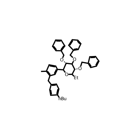 CCCCc1ccc(Cc2cc(C3OC(CC)[C@@H](OCc4ccccc4)C(OCc4ccccc4)[C@H]3OCc3ccccc3)ccc2C)cc1